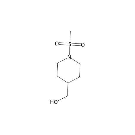 CS(=O)(=O)N1CCC(CO)CC1